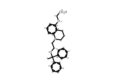 CC(OCCN1CCCc2c(OCC(=O)O)cccc21)(c1ccccc1)c1ccccc1